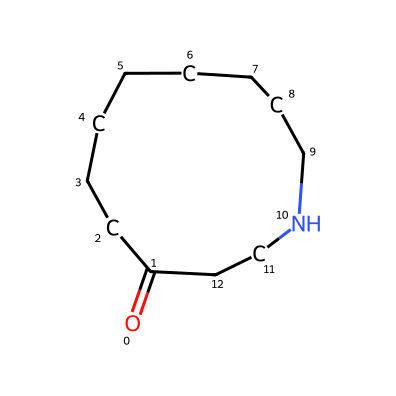 O=C1CCCCCCCCNCC1